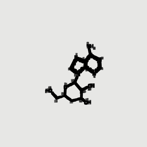 Nc1ncnc2c1ncn2C1O[C@H](CO)CC(O)C1O